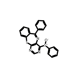 [O-][S+](c1ccccc1)c1ncnc2c1N=C(c1ccccc1)c1ccccc1S2